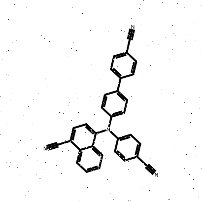 N#Cc1ccc(-c2ccc(N(c3ccc(C#N)cc3)c3ccc(C#N)c4ccccc34)cc2)cc1